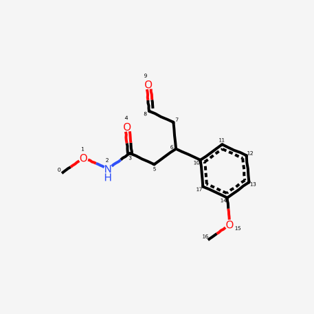 CONC(=O)CC(CC=O)c1cccc(OC)c1